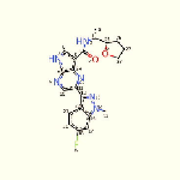 C[C@@H](NC(=O)c1c[nH]c2ncc(-c3nn(C)c4cc(F)ccc34)nc12)[C@H]1CCCO1